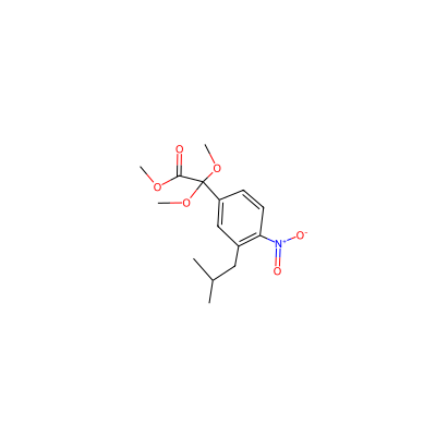 COC(=O)C(OC)(OC)c1ccc([N+](=O)[O-])c(CC(C)C)c1